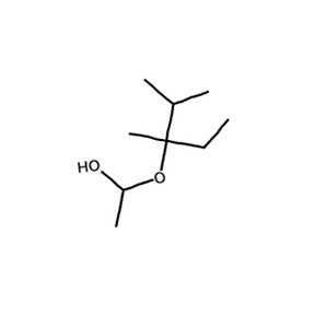 CCC(C)(OC(C)O)C(C)C